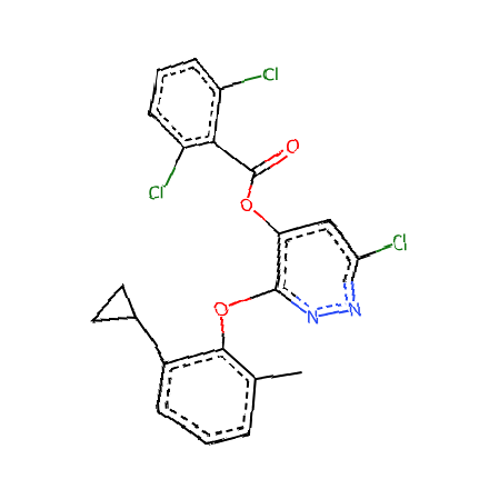 Cc1cccc(C2CC2)c1Oc1nnc(Cl)cc1OC(=O)c1c(Cl)cccc1Cl